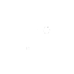 CCCC1CCCCC1CCCOc1ccc(F)c(F)c1